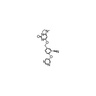 CN1CCn2c1cc(OCc1ccc(Oc3cncnc3)c(C#N)c1)nc2=O